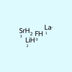 F.[La].[LiH].[SrH2]